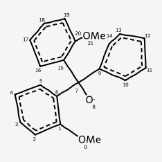 COc1ccccc1C([O])(c1ccccc1)c1ccccc1OC